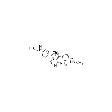 C=C(N1C=CN=C(N)/C1=C(/C)c1ccc(CNC)cc1)C12CCC(NCC)(CC1)C2